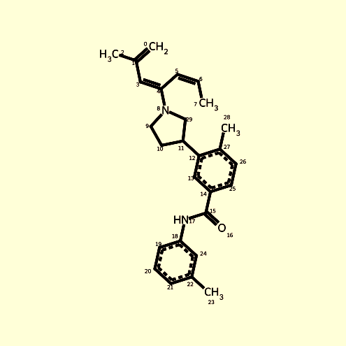 C=C(C)/C=C(\C=C/C)N1CCC(c2cc(C(=O)Nc3cccc(C)c3)ccc2C)C1